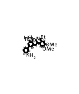 CCc1nc(O)c(Cc2cccc(-c3cccc(N)c3)c2)c2cc(OC)c(OC)cc12.Cl.Cl